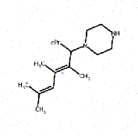 CCCC(/C(C)=C(\C)C=C(C)C)N1CCNCC1